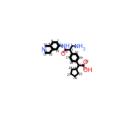 NCC(C(=O)Nc1ccc2cnccc2c1)c1ccc(C(C(=O)O)C2CCCC2)cc1